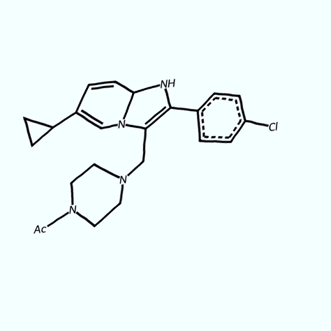 CC(=O)N1CCN(CC2=C(c3ccc(Cl)cc3)NC3C=CC(C4CC4)=CN23)CC1